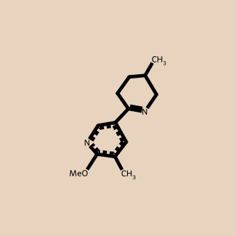 COc1ncc(C2=NCC(C)CC2)cc1C